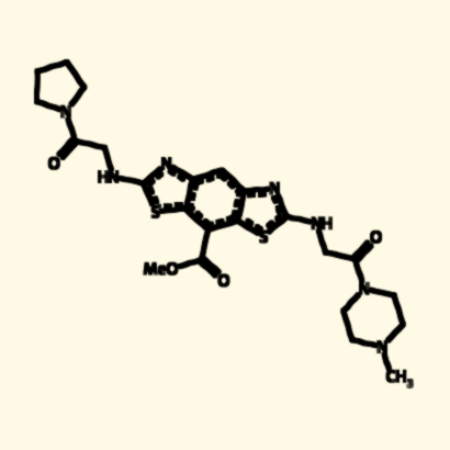 COC(=O)c1c2sc(NCC(=O)N3CCCC3)nc2cc2nc(NCC(=O)N3CCN(C)CC3)sc12